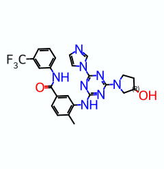 Cc1ccc(C(=O)Nc2cccc(C(F)(F)F)c2)cc1Nc1nc(N2CC[C@@H](O)C2)nc(-n2ccnc2)n1